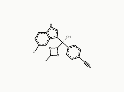 CC1OC([C@](O)(c2ccc(C#N)cc2)c2c[nH]c3ccc(Cl)cc23)O1